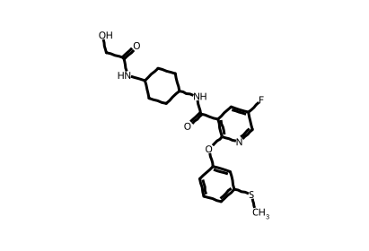 CSc1cccc(Oc2ncc(F)cc2C(=O)NC2CCC(NC(=O)CO)CC2)c1